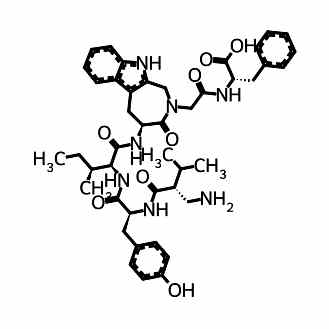 CC[C@H](C)[C@H](NC(=O)[C@H](Cc1ccc(O)cc1)NC(=O)[C@@H](CN)C(C)C)C(=O)N[C@H]1Cc2c([nH]c3ccccc23)CN(CC(=O)N[C@@H](Cc2ccccc2)C(=O)O)C1=O